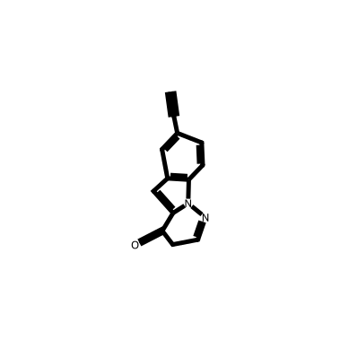 C#Cc1ccc2c(c1)cc1n2N=CCC1=O